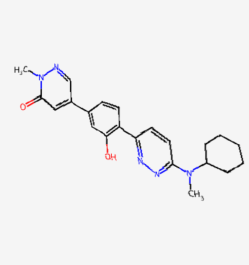 CN(c1ccc(-c2ccc(-c3cnn(C)c(=O)c3)cc2O)nn1)C1CCCCC1